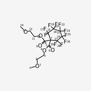 COCCOC(=O)C1(C(=O)OCCOC)C(F)(F)C(F)(F)C(F)(F)C(F)(F)C1(F)F